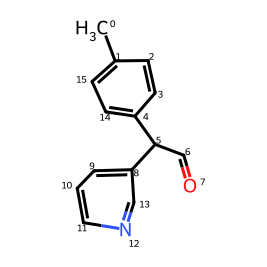 Cc1ccc(C(C=O)c2cccnc2)cc1